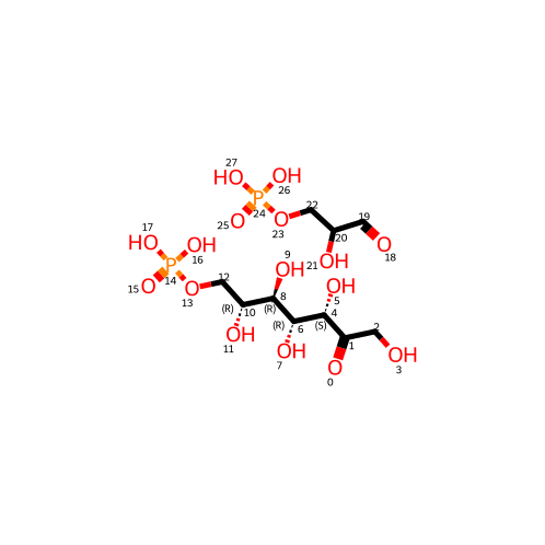 O=C(CO)[C@@H](O)[C@H](O)[C@H](O)[C@H](O)COP(=O)(O)O.O=CC(O)COP(=O)(O)O